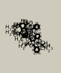 CC(=O)O[C@@]12CO[C@@H]1C[C@@H]1O[Si](C)(C)C[Si](C)(C)O[C@H]3C(=O)[C@@]1(C)C2[C@H](OC(=O)c1ccccc1)[C@]1(O)C[C@H](OC(=O)[C@H](OPP)[C@H](c2ccccc2)N(C(=O)OC(C)(C)C)C(=O)c2ccccc2)C(C)=C3C1(C)C